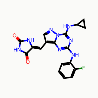 O=C1NC(=O)/C(=C/c2cnn3c(NC4CC4)nc(Nc4ccccc4F)nc23)N1